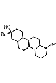 CCCCC1(C#N)CCC2C(CCC3C4CCCC(CCC)C4CCC23)C1